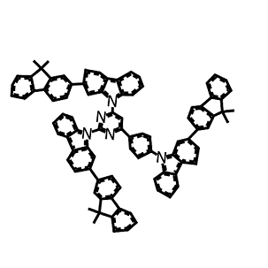 CC1(C)c2ccccc2-c2ccc(-c3ccc4c5ccccc5n(-c5ccc(-c6cc(-n7c8ccccc8c8ccc(-c9ccc%10c(c9)C(C)(C)c9ccccc9-%10)cc87)nc(-n7c8ccccc8c8ccc(-c9ccc%10c(c9)C(C)(C)c9ccccc9-%10)cc87)n6)cc5)c4c3)cc21